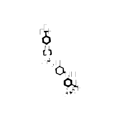 O=C(NC[C@H]1CC[C@H](Nc2ccc([N+](=O)[O-])c(C(F)(F)F)c2)CC1)N1CCN(c2ccc(C(F)(F)F)cc2)CC1